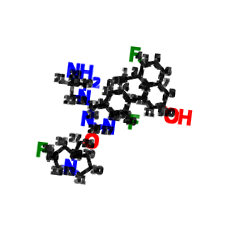 C#Cc1c(F)ccc2cc(O)cc(-c3ccc4c(N5CC(C)(N)C5)nc(OC[C@@]56CCCN5C[C@H](F)C6)nc4c3F)c12